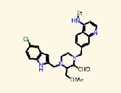 CCNc1ccnc2cc(CN3CCN(Cc4cc5cc(Cl)ccc5[nH]4)C(COC)C3C=O)ccc12